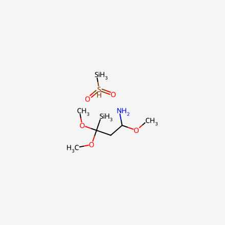 COC(N)CC([SiH3])(OC)OC.O=[SH](=O)[SiH3]